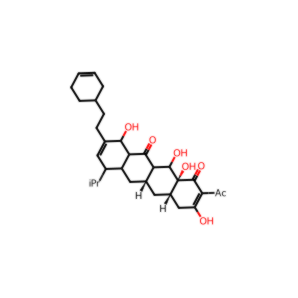 CC(=O)C1=C(O)C[C@@H]2C[C@@H]3CC4C(C(C)C)C=C(CCC5CC=CCC5)C(O)C4C(=O)C3C(O)[C@]2(O)C1=O